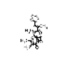 CSCCC(C)C(=O)N(C)CC1CCN1C(=O)N(C)C(C)C